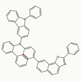 c1ccc(-c2nc3ccc4ccc(-c5ccc(N(c6ccc7c(c6)c6ccccc6n7-c6ccccc6)c6ccccc6-c6ccccc6)cc5)cc4c3o2)cc1